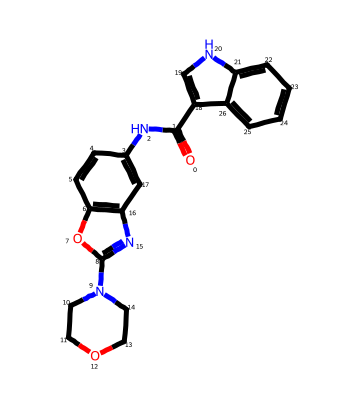 O=C(Nc1ccc2oc(N3CCOCC3)nc2c1)c1c[nH]c2ccccc12